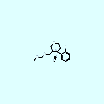 COCOCC1COCC[C@@]1(C#N)c1ccccc1F